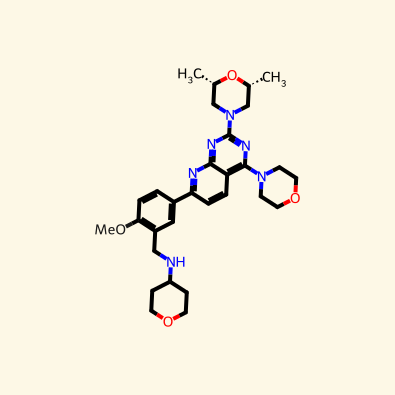 COc1ccc(-c2ccc3c(N4CCOCC4)nc(N4C[C@@H](C)O[C@@H](C)C4)nc3n2)cc1CNC1CCOCC1